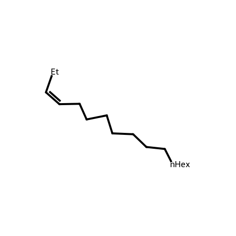 [CH2]CCCCCCCCCCCC/C=C\CC